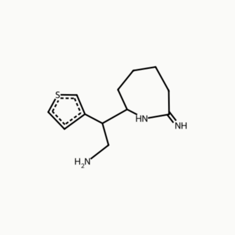 N=C1CCCCC(C(CN)c2ccsc2)N1